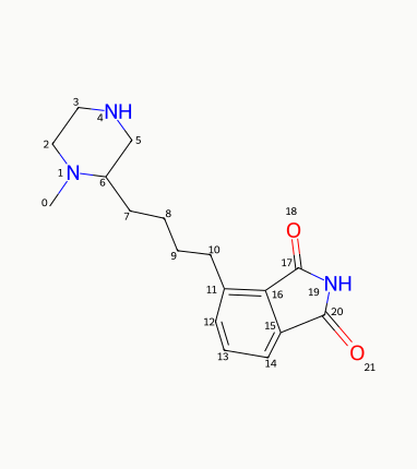 CN1CCNCC1CCCCc1cccc2c1C(=O)NC2=O